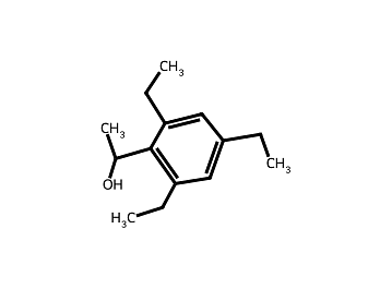 CCc1cc(CC)c(C(C)O)c(CC)c1